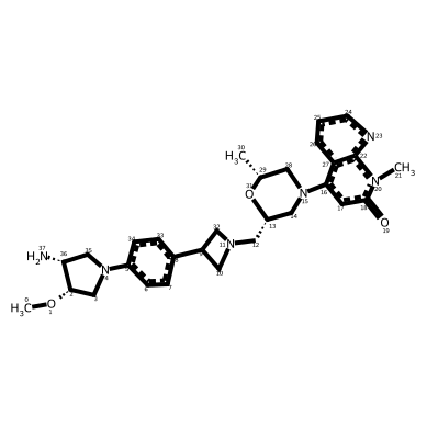 CO[C@H]1CN(c2ccc(C3CN(C[C@H]4CN(c5cc(=O)n(C)c6ncccc56)C[C@@H](C)O4)C3)cc2)C[C@H]1N